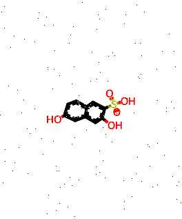 O=S(=O)(O)c1cc2ccc(O)cc2cc1O